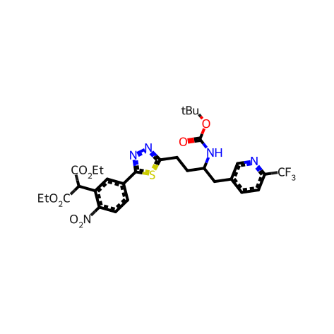 CCOC(=O)C(C(=O)OCC)c1cc(-c2nnc(CCC(Cc3ccc(C(F)(F)F)nc3)NC(=O)OC(C)(C)C)s2)ccc1[N+](=O)[O-]